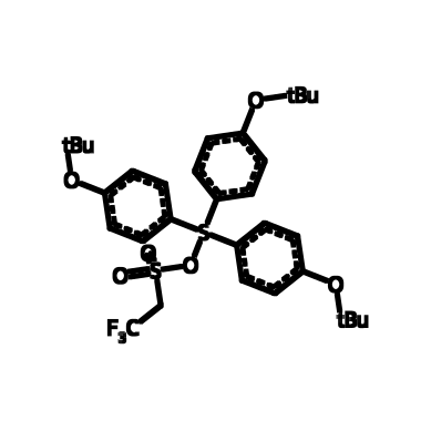 CC(C)(C)Oc1ccc(S(OS(=O)(=O)CC(F)(F)F)(c2ccc(OC(C)(C)C)cc2)c2ccc(OC(C)(C)C)cc2)cc1